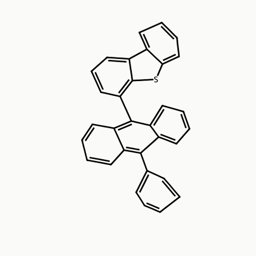 c1ccc(-c2c3ccccc3c(-c3cccc4c3sc3ccccc34)c3ccccc23)cc1